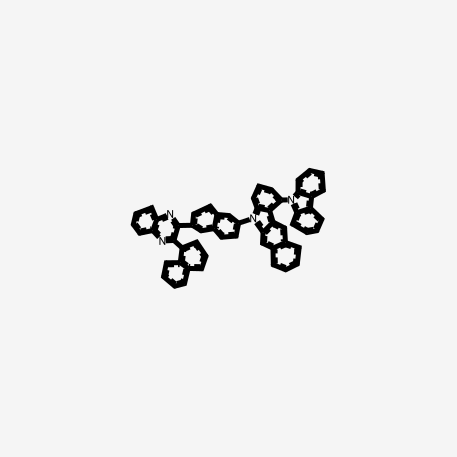 c1ccc2cc3c(cc2c1)c1c(-n2c4ccccc4c4ccccc42)cccc1n3-c1ccc2cc(-c3nc4ccccc4nc3-c3cccc4ccccc34)ccc2c1